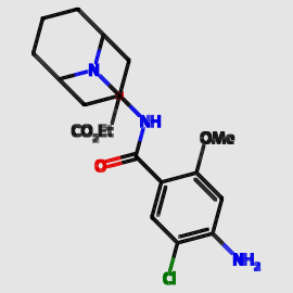 CCOC(=O)CN1C2CCCC1CC(NC(=O)c1cc(Cl)c(N)cc1OC)C2